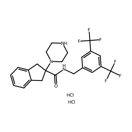 Cl.Cl.O=C(NCc1cc(C(F)(F)F)cc(C(F)(F)F)c1)C1(N2CCNCC2)Cc2ccccc2C1